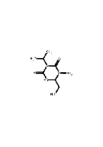 CCC1NC(=O)N(C(C)C)C(=O)N1N